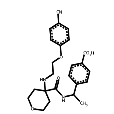 CC(NC(=O)C1(NCCOc2ccc(C#N)cc2)CCOCC1)c1ccc(C(=O)O)cc1